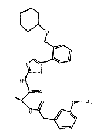 C[C@H](NC(=O)Cc1cccc(OC(F)(F)F)c1)C(=O)Nc1ncc(-c2ccccc2COC2CCCCC2)s1